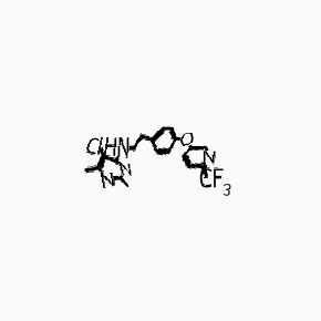 Cc1nc(C)c(Cl)c(NCCc2ccc(Oc3ccc(C(F)(F)F)nc3)cc2)n1